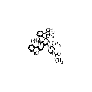 C=CC(=O)N1CCN(c2nc(=O)n(-c3c(O)cccc3C(C)C)c3nc(-c4ccccc4F)c(Cl)cc23)[C@@H](C)C1